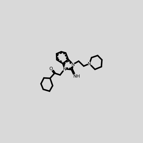 N=c1n(CCN2CCCCC2)c2ccccc2n1CC(=O)C1CCCCC1